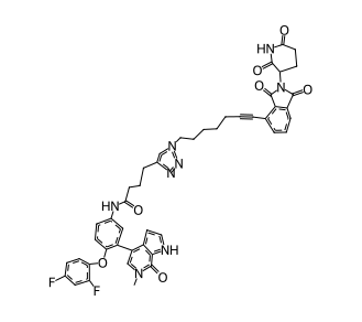 Cn1cc(-c2cc(NC(=O)CCCc3cn(CCCCCC#Cc4cccc5c4C(=O)N(C4CCC(=O)NC4=O)C5=O)nn3)ccc2Oc2ccc(F)cc2F)c2cc[nH]c2c1=O